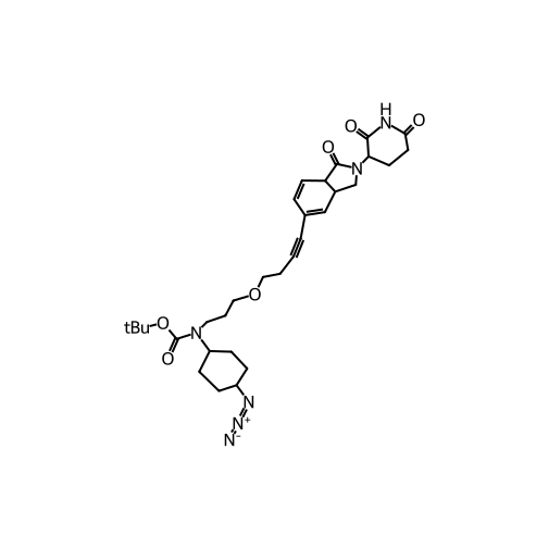 CC(C)(C)OC(=O)N(CCCOCCC#CC1=CC2CN(C3CCC(=O)NC3=O)C(=O)C2C=C1)C1CCC(N=[N+]=[N-])CC1